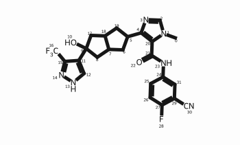 Cn1cnc(C2CC3CC(O)(c4c[nH]nc4C(F)(F)F)CC3C2)c1C(=O)Nc1ccc(F)c(C#N)c1